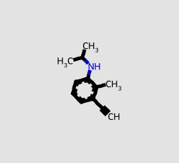 C#Cc1cccc(NC(C)C)c1C